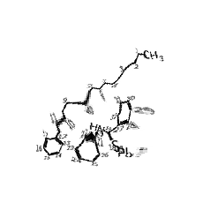 CCCCCCCCCCCCc1ccccc1.S=C(Nc1ccccc1)c1ccccc1.[Pb]